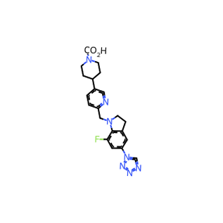 O=C(O)N1CCC(c2ccc(CN3CCc4cc(-n5cnnn5)cc(F)c43)nc2)CC1